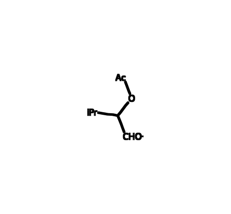 CC(=O)OC([C]=O)C(C)C